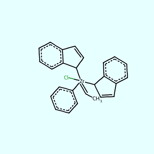 C[CH]=[Zr]([Cl])([c]1ccccc1)([CH]1C=Cc2ccccc21)[CH]1C=Cc2ccccc21